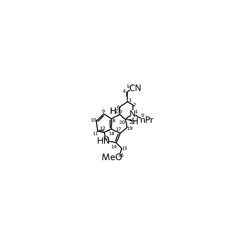 CCCN1C[C@H](CC#N)C[C@@H]2c3cccc4[nH]c(COC)c(c34)C[C@H]21